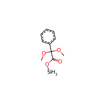 COC(OC)(C(=O)O[SiH3])c1ccccc1